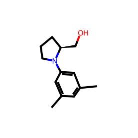 Cc1cc(C)cc(N2CCC[C@H]2CO)c1